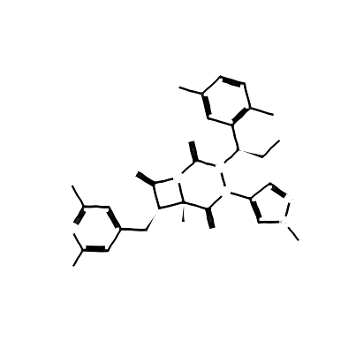 CC[C@H](c1cc(C)ccc1C)N1C(=O)N2C(=O)[C@H](Cc3cc(C)nc(N)c3)[C@H]2C(=O)N1c1cnn(C)c1